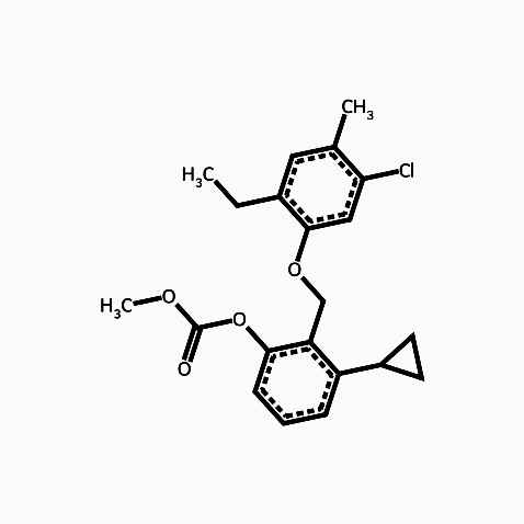 CCc1cc(C)c(Cl)cc1OCc1c(OC(=O)OC)cccc1C1CC1